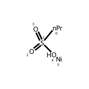 CCCS(=O)(=O)O.[Ni]